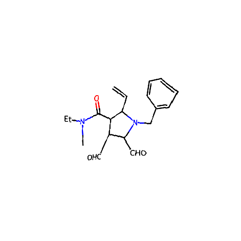 C=CC1C(C(=O)N(C)CC)C(C=O)C(C=O)N1Cc1ccccc1